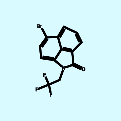 O=C1c2cccc3c(Br)ccc(c23)N1CC(F)(F)F